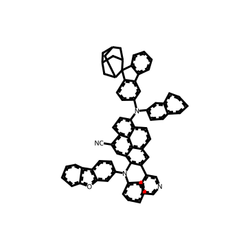 N#Cc1cc2c(N(c3ccccc3)c3ccc4c(c3)oc3ccccc34)c(-c3cccnc3)cc3ccc4c(N(c5ccc6c(c5)-c5ccccc5C65C6CC7CC(C6)CC5C7)c5ccc6ccccc6c5)ccc1c4c32